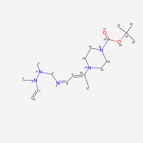 C=CN(C)N(C)C/N=C\C=C(/C)N1CCN(C(=O)OC(C)(C)C)CC1